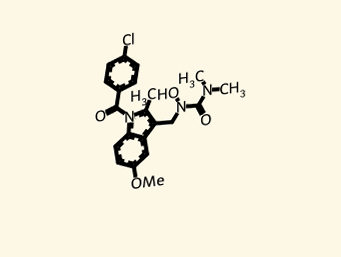 COc1ccc2c(c1)c(CN(O)C(=O)N(C)C)c(C)n2C(=O)c1ccc(Cl)cc1